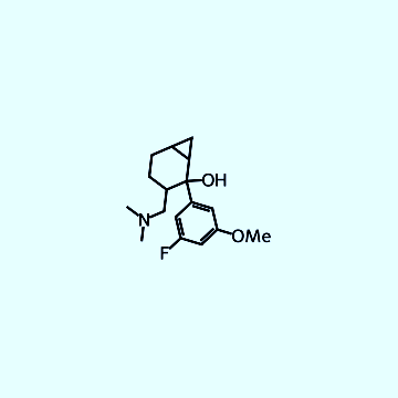 COc1cc(F)cc(C2(O)C(CN(C)C)CCC3CC32)c1